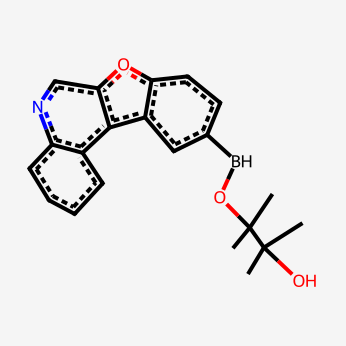 CC(C)(O)C(C)(C)OBc1ccc2oc3cnc4ccccc4c3c2c1